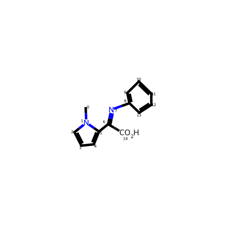 Cn1cccc1C(=Nc1ccccc1)C(=O)O